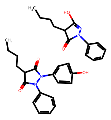 CCCCC1C(=O)N(c2ccccc2)N(c2ccc(O)cc2)C1=O.CCCCC1C(=O)N(c2ccccc2)N=C1O